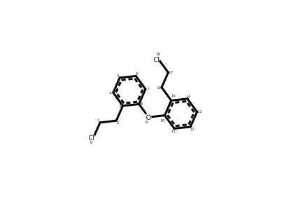 ClCCc1ccccc1Oc1ccccc1CCCl